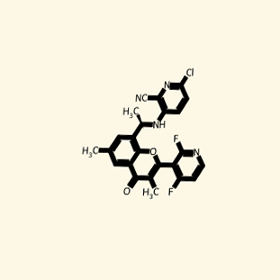 Cc1cc([C@@H](C)Nc2ccc(Cl)nc2C#N)c2oc(-c3c(F)ccnc3F)c(C)c(=O)c2c1